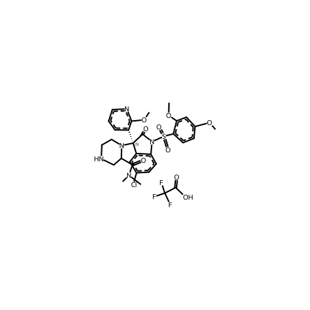 COc1ccc(S(=O)(=O)N2C(=O)[C@](c3cccnc3OC)(N3CCNCC3C(=O)N(C)C)c3cc(Cl)ccc32)c(OC)c1.O=C(O)C(F)(F)F